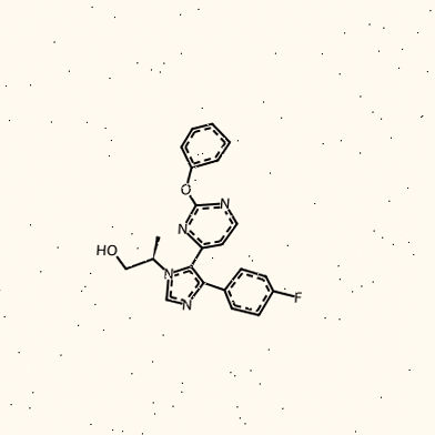 C[C@H](CO)n1cnc(-c2ccc(F)cc2)c1-c1ccnc(Oc2ccccc2)n1